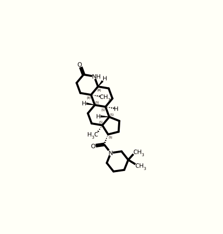 CC1(C)CCCN(C(=O)[C@H]2CC[C@H]3[C@@H]4CC[C@H]5NC(=O)CC[C@]5(C)[C@H]4CC[C@]23C)C1